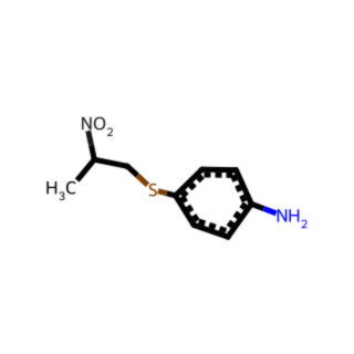 CC(CSc1ccc(N)cc1)[N+](=O)[O-]